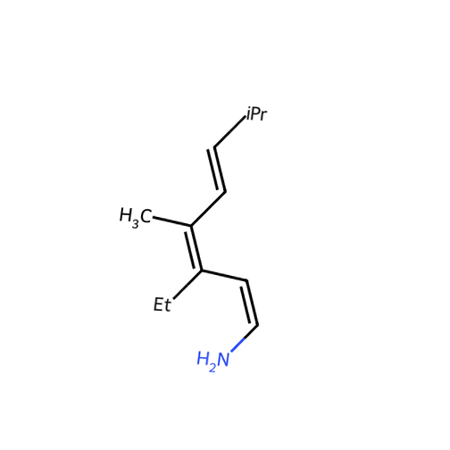 CCC(/C=C\N)=C(C)/C=C/C(C)C